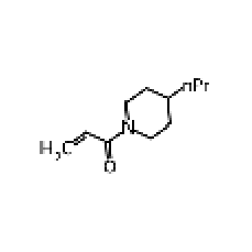 C=CC(=O)N1CCC(CCC)CC1